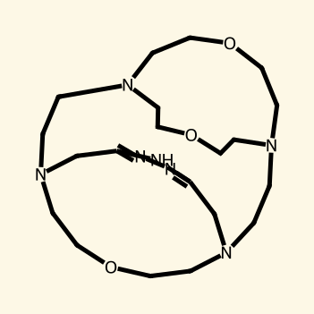 C1CN2CCOCCN(CCO1)CCN1CCOCCN(CC2)Cc2nnc([nH]2)C1